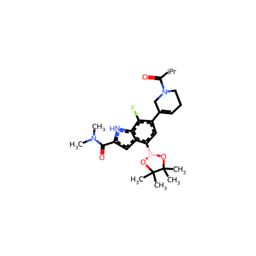 CC(C)C(=O)N1CCC=C(c2cc(B3OC(C)(C)C(C)(C)O3)c3cc(C(=O)N(C)C)[nH]c3c2F)C1